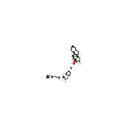 CC(=O)N[C@@H](Cc1ccc(OC(=O)OCC(=O)[C@@]2(O)CC[C@H]3[C@@H]4CCC5=CC(=O)CC[C@]5(C)C4[C@@H](O)C[C@@]32C)cc1)C(=O)OCCCCON(O)O